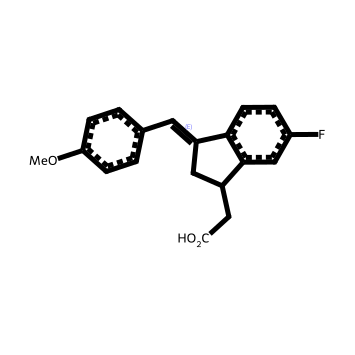 COc1ccc(/C=C2\CC(CC(=O)O)c3cc(F)ccc32)cc1